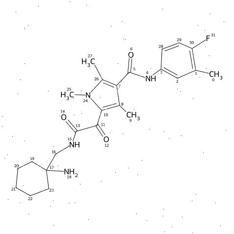 Cc1cc(NC(=O)c2c(C)c(C(=O)C(=O)NCC3(N)CCCCC3)n(C)c2C)ccc1F